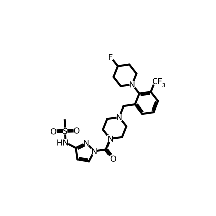 CS(=O)(=O)Nc1ccn(C(=O)N2CCN(Cc3cccc(C(F)(F)F)c3N3CCC(F)CC3)CC2)n1